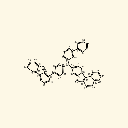 c1ccc(-c2cccc(N(c3ccc(-c4cccc5c4oc4ccccc45)cc3)c3ccc4c(c3)oc3ccc5ccccc5c34)c2)cc1